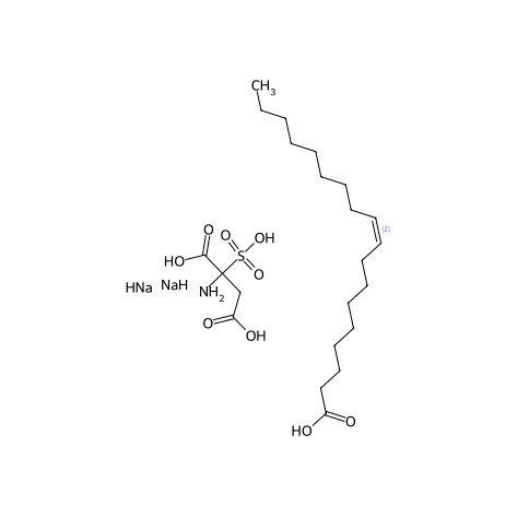 CCCCCCCC/C=C\CCCCCCCC(=O)O.NC(CC(=O)O)(C(=O)O)S(=O)(=O)O.[NaH].[NaH]